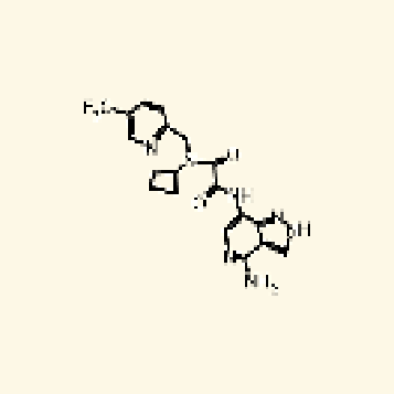 Nc1ncc(NC(=O)C(=O)N(Cc2ccc(C(F)(F)F)cn2)C2CCC2)c2n[nH]cc12